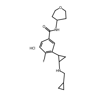 Cl.O=C(NC1CCOCC1)c1ccc(F)c(C2CC2NCC2CC2)c1